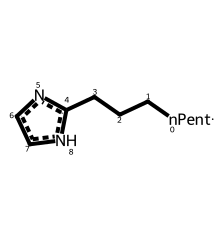 CCCC[CH]CCCc1ncc[nH]1